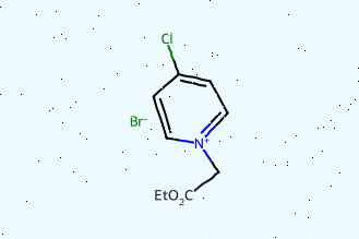 CCOC(=O)C[n+]1ccc(Cl)cc1.[Br-]